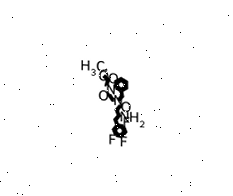 CCOC(=O)CN1C(=O)CN(C(=O)C[C@H](N)Cc2cc(F)c(F)cc2F)Cc2ccccc21